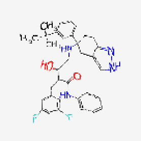 CC(C)(C)c1cccc(C2(NCC(O)C(Cc3cc(F)cc(F)c3)C(=O)Nc3ccccc3)CCc3n[nH]cc3C2)c1